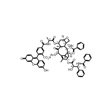 CC(=O)O[C@H]1C(=O)[C@@]2(C)C([C@H](OC(=O)c3ccccc3)[C@]3(O)C[C@H](OC(=O)[C@H](O)[C@@H](NC(=O)c4ccccc4)c4ccccc4)C(C)=C1C3(C)C)[C@]1(OC(C)=O)CO[C@@H]1C[C@@H]2OC(=O)[C@H](C)NC(=O)c1ccc(-c2c3ccc(=O)cc-3oc3cc(O)ccc23)c(C(=O)O)c1